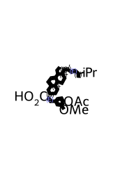 COc1cc(/C=C(/C(=O)O)[C@H]2CC[C@@]3(C)C(=CC=C4C3CC[C@@]3(C)C4CC[C@@H]3[C@H](C)/C=C/[C@H](C)C(C)C)C2)ccc1OC(C)=O